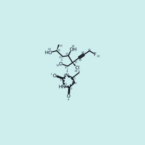 Cc1cc(=O)[nH]c(=O)n1[C@@H]1O[C@H]([C@H](C)O)C(O)[C@]1(Cl)C#CCF